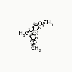 CC=C(c1ccc(OCC)cc1)c1ccc(OCC)cc1